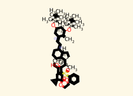 C=C1/C(=C\C=C2/CCC[C@]3(C)[C@@H]([C@H](C)C(O)C(CC4(C5(CCCCC)OCCO5)CC4)S(=O)(=O)c4ccccc4)CC[C@@H]23)C[C@@H](O[Si](C)(C)C(C)(C)C)C[C@@H]1O[Si](C)(C)C(C)(C)C